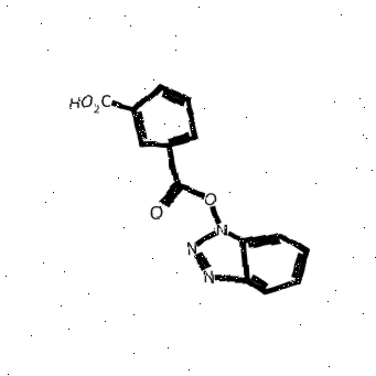 O=C(O)c1cccc(C(=O)On2nnc3ccccc32)c1